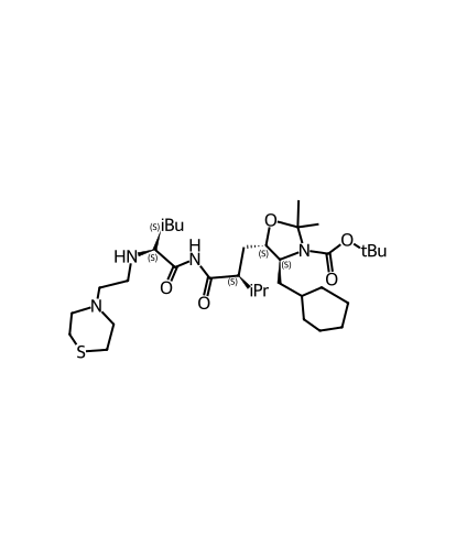 CC[C@H](C)[C@H](NCCN1CCSCC1)C(=O)NC(=O)[C@@H](C[C@@H]1OC(C)(C)N(C(=O)OC(C)(C)C)[C@H]1CC1CCCCC1)C(C)C